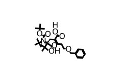 CC(C)(C)OC(=O)N(C(C)(C)C)[C@](CC(=CCCOCc1ccccc1)C(=O)O)(C(=O)O)C(C)(C)C